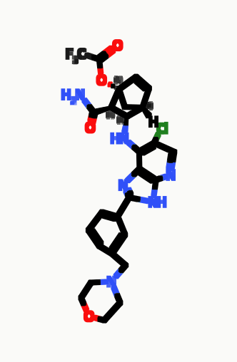 NC(=O)[C@@H]1[C@H](Nc2c(Cl)cnc3[nH]c(-c4cccc(CN5CCOCC5)c4)nc23)[C@H]2C=C[C@@]1(OC(=O)C(F)(F)F)C2